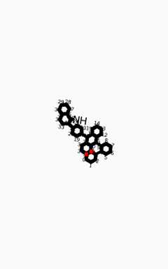 c1ccc(-c2ccccc2-c2c3ccccc3c(-c3ccc4c(c3)[nH]c3c5ccccc5ccc43)c3ccccc23)cc1